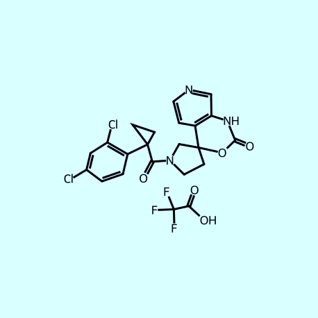 O=C(O)C(F)(F)F.O=C1Nc2cnccc2C2(CCN(C(=O)C3(c4ccc(Cl)cc4Cl)CC3)C2)O1